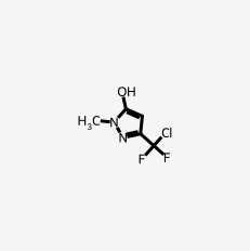 Cn1nc(C(F)(F)Cl)cc1O